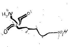 NS(=O)(=O)CCCS(=O)(=O)O